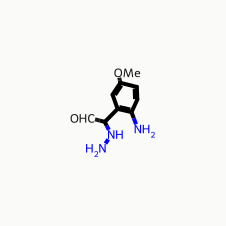 COc1ccc(N)c(C(C=O)NN)c1